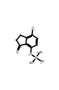 CC(C)[Si](Oc1ccc(Cl)c2c1C(=O)CC2)(C(C)C)C(C)C